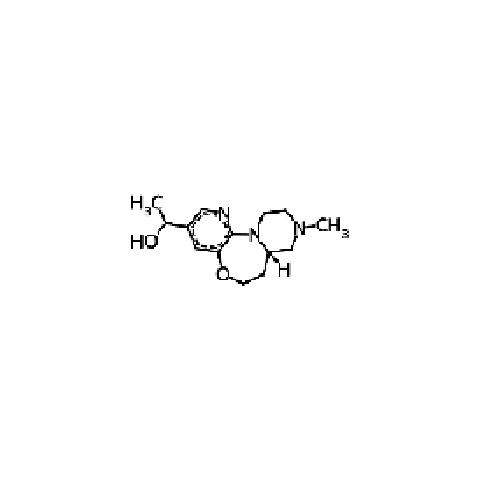 CC(O)c1cnc2c(c1)OCC[C@H]1CN(C)CCN21